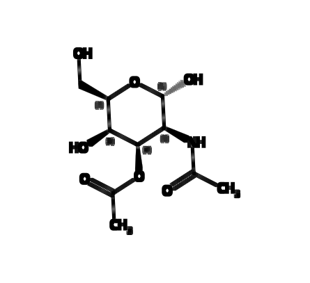 CC(=O)N[C@H]1[C@@H](OC(C)=O)[C@@H](O)[C@@H](CO)O[C@@H]1O